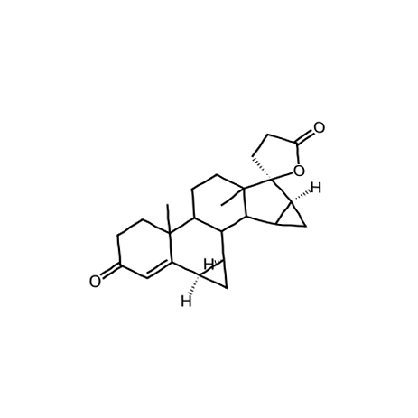 CC12CCC(=O)C=C1[C@@H]1C[C@@H]1C1C2CCC2(C)C1C1C[C@@H]1[C@@]21CCC(=O)O1